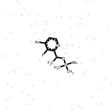 [CH2]C(=O)c1ccnc(C(O[Si](C)(C)C(C)(C)C)C(F)(F)F)c1F